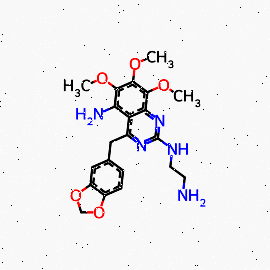 COc1c(OC)c(N)c2c(Cc3ccc4c(c3)OCO4)nc(NCCN)nc2c1OC